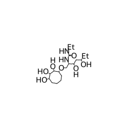 CCNC(=O)NC(COC1CCCCC(O)C(O)C1O)C(O)CC(O)CC